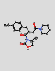 COc1ccc(C[C@H](CC(=O)N2CCCCC2)C(=O)N2C(=O)OC[C@@H]2C(C)C)cc1